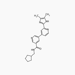 Cc1nc(-c2cc(-c3cncc(C(=O)NCC4CCCC4)c3)ccn2)[nH]c1C